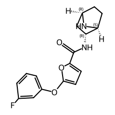 O=C(N[C@@H]1C[C@H]2CC[C@@H]1N2)c1ccc(Oc2cccc(F)c2)o1